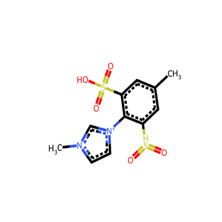 Cc1cc([SH](=O)=O)c(-[n+]2ccn(C)c2)c(S(=O)(=O)O)c1